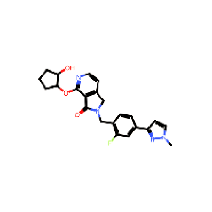 Cn1ccc(-c2ccc(CN3Cc4ccnc(OC5CCCC5O)c4C3=O)c(F)c2)n1